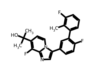 Cc1c(F)cccc1-c1cc(-c2cnc3c(F)c(C(C)(C)O)ccn23)ccc1F